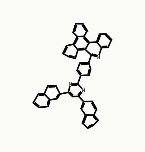 c1ccc2cc(-c3cc(-c4ccc5ccccc5c4)nc(-c4ccc(-c5nc6ccccc6c6c7ccccc7c7ccccc7c56)cc4)n3)ccc2c1